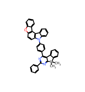 C[Si]1(C)c2ccccc2-c2c(-c3ccc(-n4c5ccccc5c5c6c(ccc54)oc4ccccc46)cc3)nc(-c3ccccc3)nc21